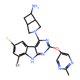 CCc1cc(F)cc2c1[nH]c1nc(Oc3cnc(C)nc3)nc(N3CC4CC(N)C4C3)c12